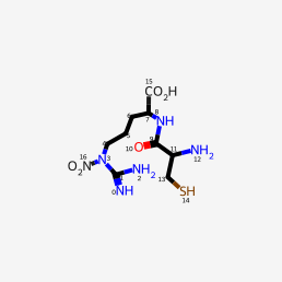 N=C(N)N(CCCC(NC(=O)C(N)CS)C(=O)O)[N+](=O)[O-]